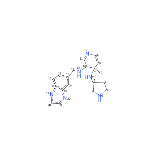 CC1(NC2CCNC2)C=CN=CC1NCc1ccc2nccnc2c1